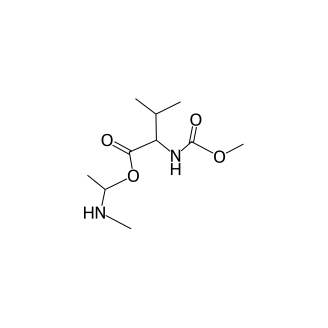 CNC(C)OC(=O)C(NC(=O)OC)C(C)C